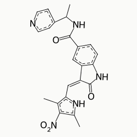 Cc1[nH]c(C=C2C(=O)Nc3ccc(C(=O)NC(C)c4ccncc4)cc32)c(C)c1[N+](=O)[O-]